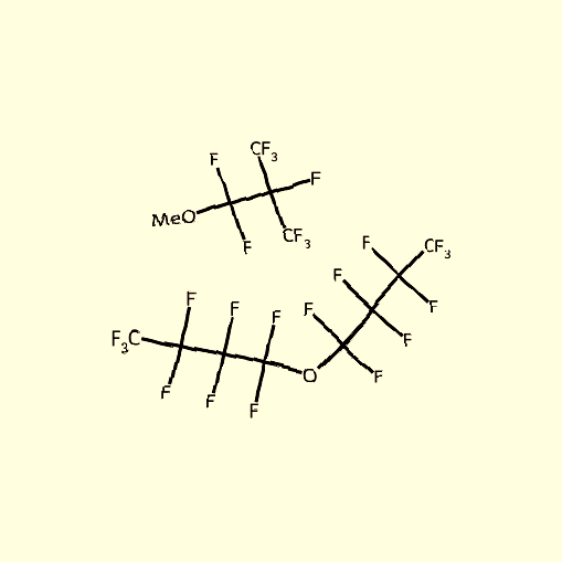 COC(F)(F)C(F)(C(F)(F)F)C(F)(F)F.FC(F)(F)C(F)(F)C(F)(F)C(F)(F)OC(F)(F)C(F)(F)C(F)(F)C(F)(F)F